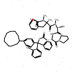 CC(C)[C@@H](C(=O)N[C@@H](CC(=O)OC(c1ccccc1)(c1ccc(C2CCCCCCCCC2)cc1)c1ccccc1Cl)C(=O)N1CCCC1)N(C)C(=O)C(C)(Cc1ccccc1)N(C)C(=O)C(F)(F)F